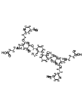 Cc1c(COc2nc(OCCc3cc(C#N)ccn3)c(CNCCCC(=O)O)cc2Br)cccc1-c1cccc(COc2nc(OCCc3cc(C#N)ccn3)c(CNCCCC(=O)O)cc2Br)c1C